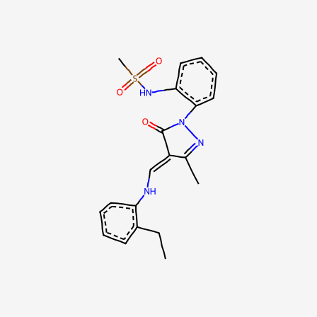 CCc1ccccc1N/C=C1/C(=O)N(c2ccccc2NS(C)(=O)=O)N=C1C